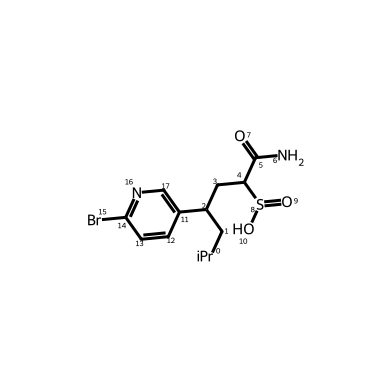 CC(C)CC(CC(C(N)=O)S(=O)O)c1ccc(Br)nc1